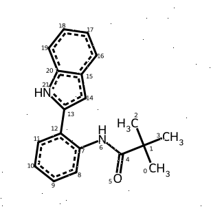 CC(C)(C)C(=O)Nc1ccccc1-c1cc2ccccc2[nH]1